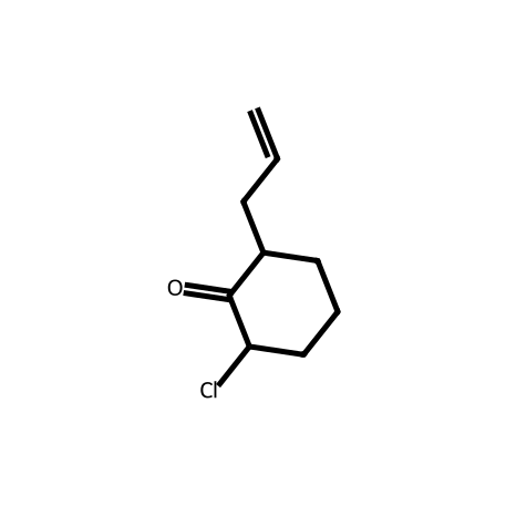 C=CCC1CCCC(Cl)C1=O